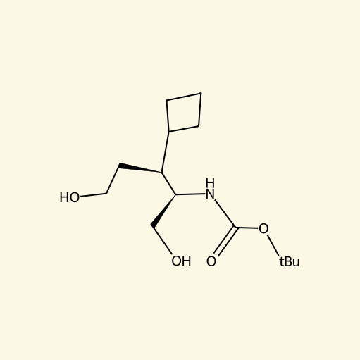 CC(C)(C)OC(=O)N[C@@H](CO)[C@@H](CCO)C1CCC1